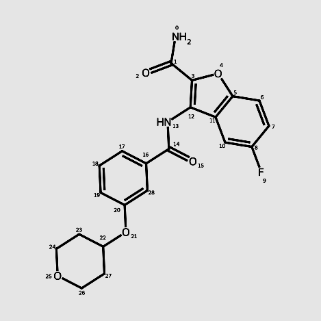 NC(=O)c1oc2ccc(F)cc2c1NC(=O)c1cccc(OC2CCOCC2)c1